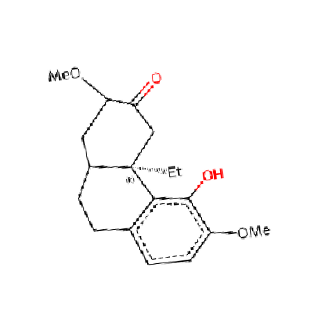 CC[C@@]12CC(=O)C(OC)CC1CCc1ccc(OC)c(O)c12